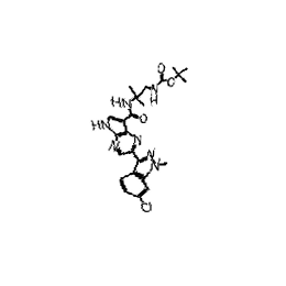 Cn1nc(-c2cnc3[nH]cc(C(=O)NC(C)(C)CNC(=O)OC(C)(C)C)c3n2)c2ccc(Cl)cc21